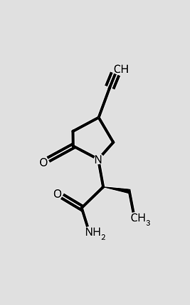 C#CC1CC(=O)N([C@@H](CC)C(N)=O)C1